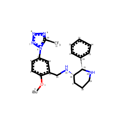 CCC(C)Oc1ccc(-n2nnnc2C(F)(F)F)cc1CN[C@H]1CCCN[C@H]1c1ccccc1